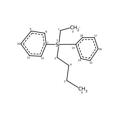 [CH2]C[Si](CCCC)(c1ccccc1)c1ccccc1